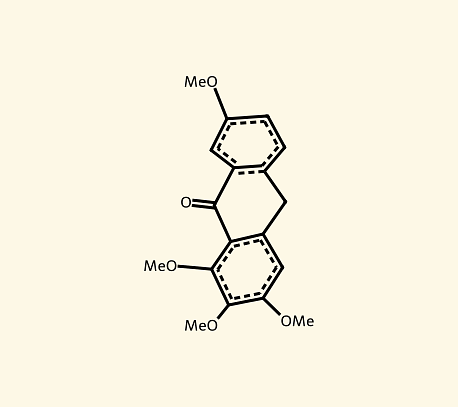 COc1ccc2c(c1)C(=O)c1c(cc(OC)c(OC)c1OC)C2